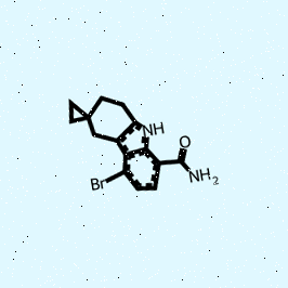 NC(=O)c1ccc(Br)c2c3c([nH]c12)CCC1(CC1)C3